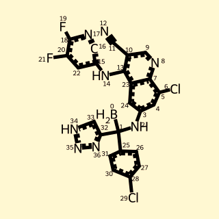 BC(Nc1cc(Cl)c2ncc(C#N)c(Nc3cnc(F)c(F)c3)c2c1)(c1ccc(Cl)cc1)c1c[nH]nn1